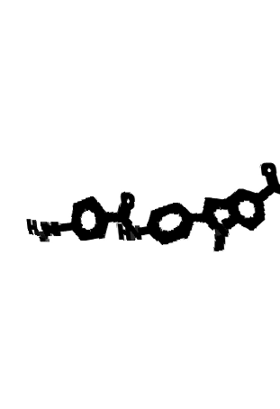 CCC(=O)c1ccc2c(c1)cc(-c1ccc(NC(=O)c3ccc(N)cc3)cc1)n2C